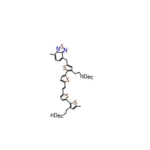 CCCCCCCCCCCCc1cc(C)sc1-c1ccc(/C=C/c2ccc(-c3sc(Cc4ccc(C)c5nsnc45)cc3CCCCCCCCCCCC)s2)s1